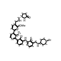 COc1nc(-c2ccnc(-c3cccc(Nc4nccc(CNC5CCN(C(C)=O)CC5)c4F)c3Cl)c2C)ccc1CNC[C@@H]1CCC(=O)N1